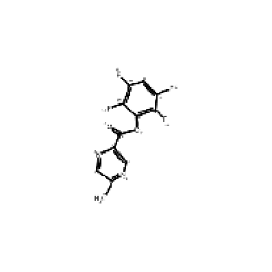 Cc1cnc(C(=O)Oc2c(F)c(F)cc(F)c2F)cn1